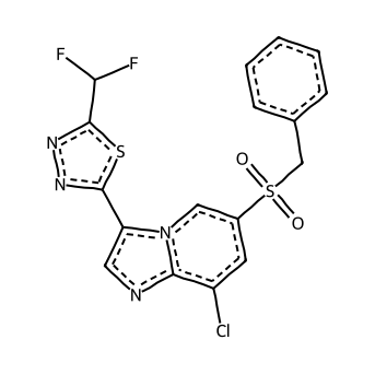 O=S(=O)(Cc1ccccc1)c1cc(Cl)c2ncc(-c3nnc(C(F)F)s3)n2c1